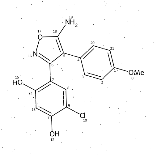 COc1ccc(-c2c(-c3cc(Cl)c(O)cc3O)noc2N)cc1